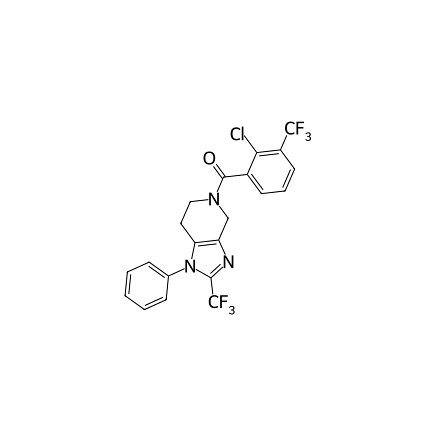 O=C(c1cccc(C(F)(F)F)c1Cl)N1CCc2c(nc(C(F)(F)F)n2-c2ccccc2)C1